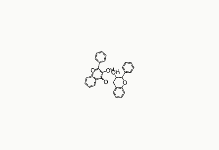 O=c1c(O)c(-c2ccccc2)oc2ccccc12.OC1Cc2ccccc2OC1c1ccccc1